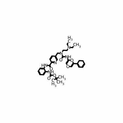 CCN(CC)CCN(Cc1ccc(C(=O)Nc2ccccc2NC(=O)OC(C)(C)C)nc1)C(=O)NC1=COC=C(C2=CC=CCC2)O1